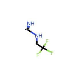 N=[C]NCC(F)(F)F